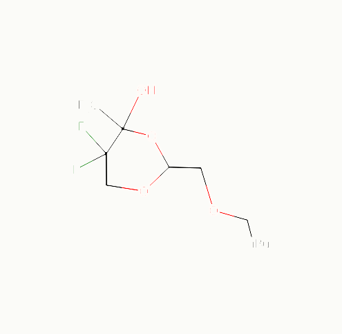 CCC(C)COCC1OCC(F)(F)C(O)(C(F)(F)F)O1